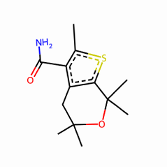 Cc1sc2c(c1C(N)=O)CC(C)(C)OC2(C)C